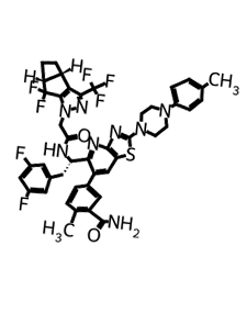 Cc1ccc(N2CCN(c3nc4nc([C@H](Cc5cc(F)cc(F)c5)NC(=O)Cn5nc(C(F)(F)F)c6c5C(F)(F)[C@@H]5CC[C@H]65)c(-c5ccc(C)c(C(N)=O)c5)cc4s3)CC2)cc1